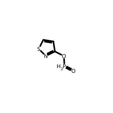 O=[PH2]Oc1ccsn1